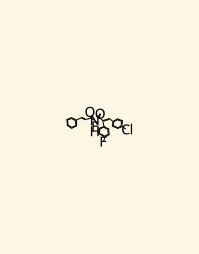 O=C(/C=C/c1ccccc1)NC(=O)/C(=C/c1ccc(Cl)cc1)c1ccc(F)cc1F